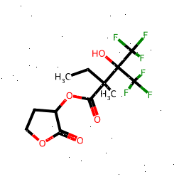 CCC(C)(C(=O)OC1CCOC1=O)C(O)(C(F)(F)F)C(F)(F)F